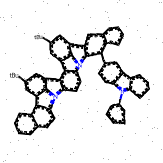 CC(C)(C)c1cc2c3c4ccccc4ccc3n3c4ccc5c(c6cc(C(C)(C)C)cc7c8cc9ccccc9c(-c9ccc%10c(c9)c9ccccc9n%10-c9ccccc9)c8n5c76)c4c(c1)c23